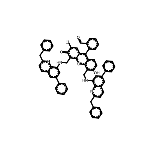 O=Cc1ccccc1-c1c2cc(Cl)c(=O)c(CNc3cc(-c4ccccc4)cc4ccc(Cc5ccccc5)nc34)c-2oc2c(CNc3cc(-c4ccccc4)cc4ccc(Cc5ccccc5)nc34)c(O)ccc12